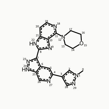 Cn1cc(-c2cc3c(-c4nc5c(N6CCOCC6)nccc5[nH]4)n[nH]c3cn2)cn1